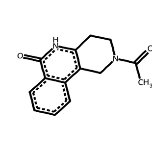 CC(=O)N1CCc2[nH]c(=O)c3ccccc3c2C1